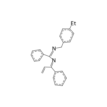 C=C/C(=N\C(=N/Cc1ccc(CC)cc1)c1ccccc1)c1ccccc1